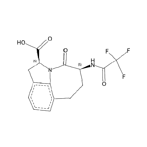 O=C(O)[C@@H]1Cc2cccc3c2N1C(=O)[C@@H](NC(=O)C(F)(F)F)CC3